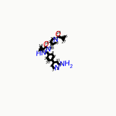 NC1=NCCC(C2=CCC(C3NC4(CC4)C(=O)N3C[C@@H]3CCN(C(=O)C4CC4)C3)C=C2)C1